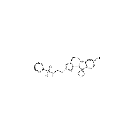 O=S(=O)(NCCn1cc2c(n1)C(C1(c3ccc(Cl)cc3)CCC1)NCC2)c1ccccc1